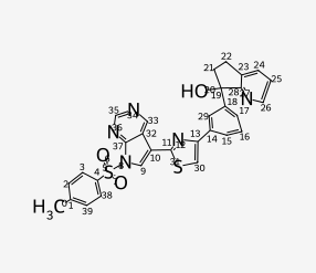 Cc1ccc(S(=O)(=O)n2cc(-c3nc(-c4cccc(C5(O)CCc6cccnc65)c4)cs3)c3cncnc32)cc1